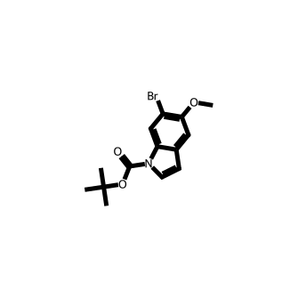 COc1cc2ccn(C(=O)OC(C)(C)C)c2cc1Br